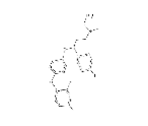 Cc1ccc(Oc2ccc(OC(CCN(C)CC(=O)O)c3ccc(F)cc3)cc2)c(C)c1